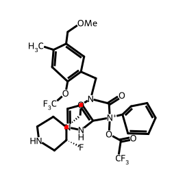 COCc1cc(CN(OC[C@H]2CCNC[C@H]2F)C(=O)[N+](OC(=O)C(F)(F)F)(c2ccccc2)c2ccn[nH]2)c(OC(F)(F)F)cc1C